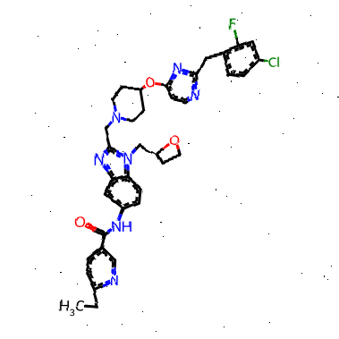 CCc1ccc(C(=O)Nc2ccc3c(c2)nc(CN2CCC(Oc4ccnc(Cc5ccc(Cl)cc5F)n4)CC2)n3C[C@@H]2CCO2)cn1